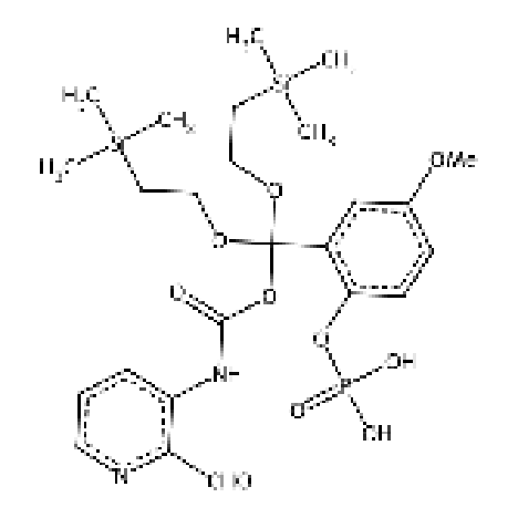 COc1ccc(OP(=O)(O)O)c(C(OCC[Si](C)(C)C)(OCC[Si](C)(C)C)OC(=O)Nc2cccnc2C=O)c1